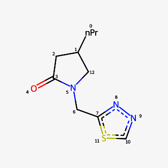 CCCC1CC(=O)N(Cc2nncs2)C1